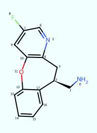 NC[C@@H]1Cc2ncc(F)cc2Oc2ccccc21